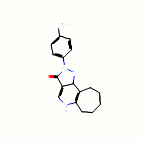 COc1ccc(N2NC3C(=CNC4=C3CCCCC4)C2=O)cc1